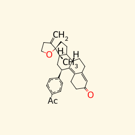 C=C1CCO[C@]12CC[C@H]1[C@@H]3CCC4=CC(=O)CCC4=C3[C@@H](c3ccc(C(C)=O)cc3)C[C@@]12C